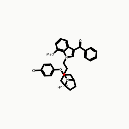 COc1cccc2c(C(=O)c3ccccc3)cn(CCCN3C4CC[C@H]3CC(Oc3ccc(Cl)cc3)C4)c12